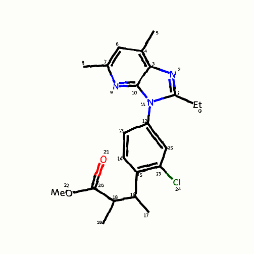 CCc1nc2c(C)cc(C)nc2n1-c1ccc(C(C)C(C)C(=O)OC)c(Cl)c1